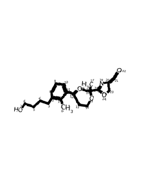 Cc1c(CCCCO)cccc1C1CCOC(C)(C2=NC(=C=O)CO2)O1